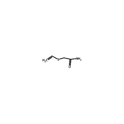 C=CSCC(N)=O